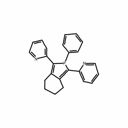 c1ccc(-p2c(-c3ccccn3)c3c(c2-c2ccccn2)CCCC3)cc1